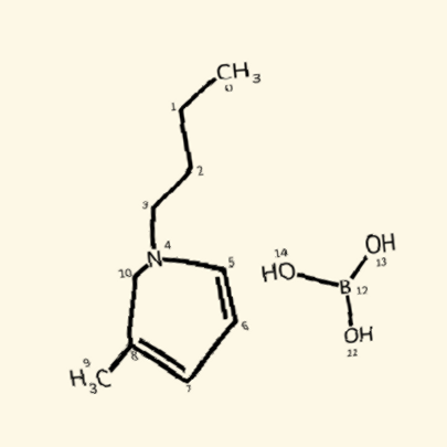 CCCCN1C=CC=C(C)C1.OB(O)O